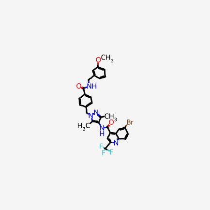 COc1cccc(CNC(=O)c2ccc(Cn3nc(C)c(NC(=O)c4cc(C(F)(F)F)nc5ccc(Br)cc45)c3C)cc2)c1